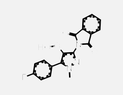 Cn1nc(N2C(=O)c3ccccc3C2=O)c(OO)c1-c1ccc(F)cc1